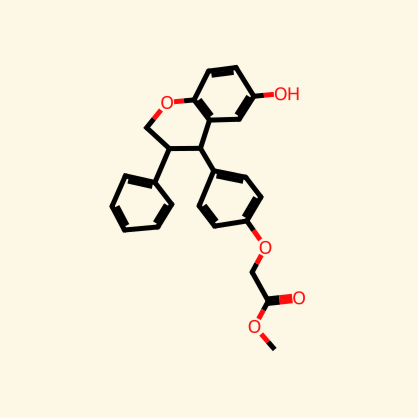 COC(=O)COc1ccc(C2c3cc(O)ccc3OCC2c2ccccc2)cc1